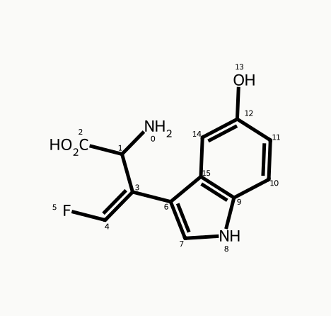 NC(C(=O)O)C(=CF)c1c[nH]c2ccc(O)cc12